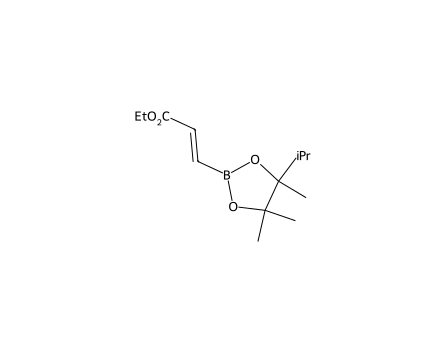 CCOC(=O)/C=C/B1OC(C)(C)C(C)(C(C)C)O1